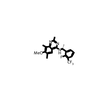 COc1c(C)cc2c(N[C@H](C)c3cccc(C(F)(F)F)c3F)nc(C)nc2c1C